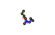 c1ccc(-c2nc(-c3cccc(-n4c5ccccc5c5ccccc54)c3)nc(-c3ccc4c(c3)oc3cc(-c5cccc6c5sc5ccccc56)ccc34)n2)cc1